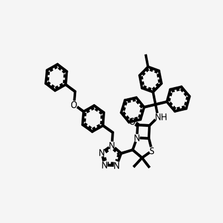 Cc1ccc(C(NC2C(=O)N3C2SC(C)(C)C3c2nnnn2Cc2ccc(OCc3ccccc3)cc2)(c2ccccc2)c2ccccc2)cc1